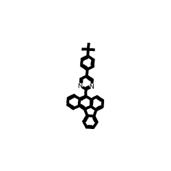 CC(C)(C)c1ccc(-c2cnc(-c3c4ccccc4c4c5c(cccc35)-c3ccccc3-4)nc2)cc1